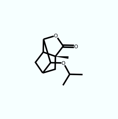 CC(C)OC1C2CC3C1OC(=O)[C@]3(C)C2